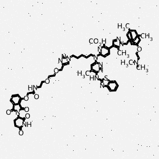 Cc1cc(N(CCCCCn2cc(COCCOCCNC(=O)COc3cccc4c3C(=O)N(C3CCC(=O)NC3=O)C4=O)nn2)c2ccc(-c3cnn(CC45CC6(C)CC(C)(C4)CC(OCCN(C)C)(C6)C5)c3C)c(C(=O)O)n2)nnc1Nc1nc2ccccc2s1